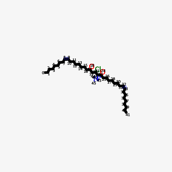 CCCCCCCC/C=C\CCCCCCCC(=O)CC(Cl)C(C(=O)CCCCCCC/C=C\CCCCCCCC)[N+](C)(C)C